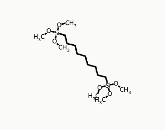 CO[Si](CCCCCCCCC[Si](OC)(OC)OC)(OC)OC